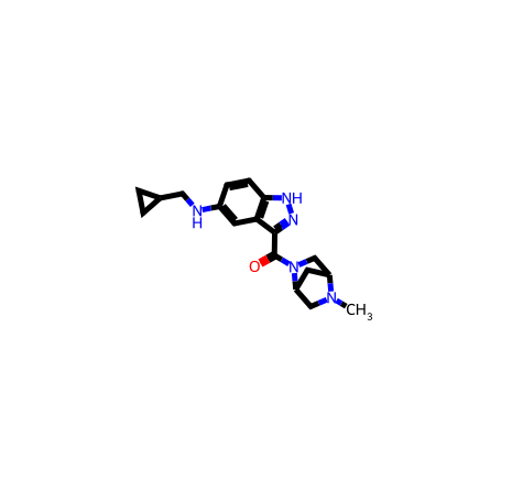 CN1CC2CC1CN2C(=O)c1n[nH]c2ccc(NCC3CC3)cc12